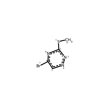 CSc1nncc(Br)n1